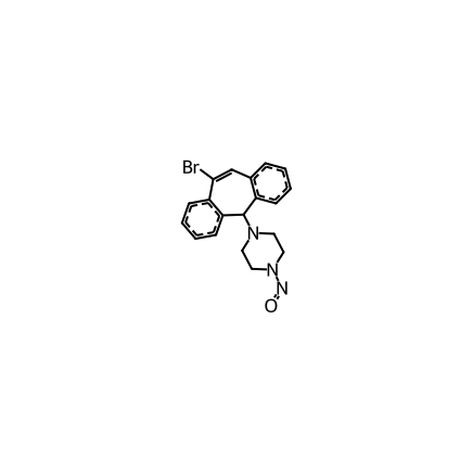 O=NN1CCN(C2c3ccccc3C=C(Br)c3ccccc32)CC1